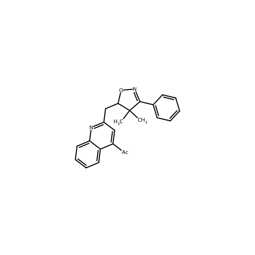 CC(=O)c1cc(CC2ON=C(c3ccccc3)C2(C)C)nc2ccccc12